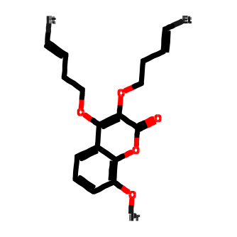 CCC=CCCOc1c(OCCC=CCC)c2cccc(OC(C)C)c2oc1=O